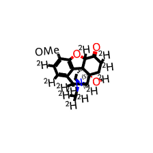 [2H]O[C@@]12CC([2H])([2H])C(=O)C3([2H])Oc4c(OC)c([2H])c([2H])c5c4[C@@]31CCN(C([2H])([2H])[2H])[C@]2([2H])C5([2H])[2H]